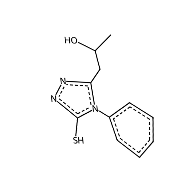 CC(O)Cc1nnc(S)n1-c1ccccc1